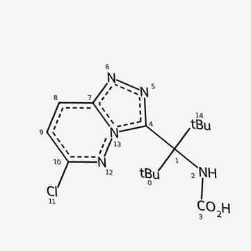 CC(C)(C)C(NC(=O)O)(c1nnc2ccc(Cl)nn12)C(C)(C)C